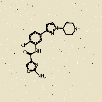 Nc1nc(C(=O)Nc2cc(-c3ccn(C4CCNCC4)n3)ccc2Cl)co1